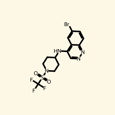 O=S(=O)(N1CCC(Nc2cnnc3ccc(Br)cc23)CC1)C(F)(F)F